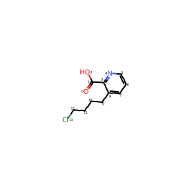 O=C(O)c1ncccc1CCCCCl